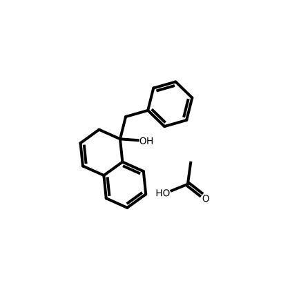 CC(=O)O.OC1(Cc2ccccc2)CC=Cc2ccccc21